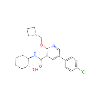 O=C(N[C@@H]1CCCC[C@H]1O)c1cc(-c2ccc(Cl)cc2)cnc1OCC1CCC1